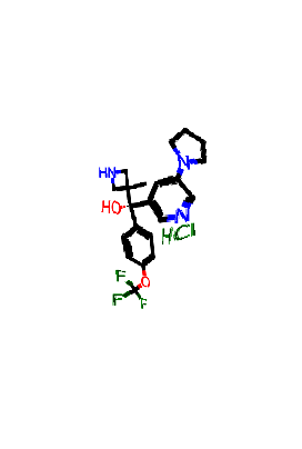 CC1([C@](O)(c2ccc(OC(F)(F)F)cc2)c2cncc(N3CCCC3)c2)CNC1.Cl